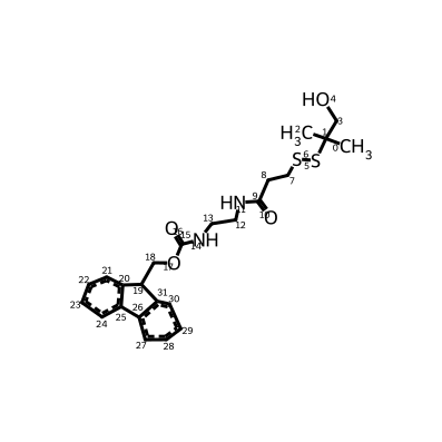 CC(C)(CO)SSCCC(=O)NCCNC(=O)OCC1c2ccccc2-c2ccccc21